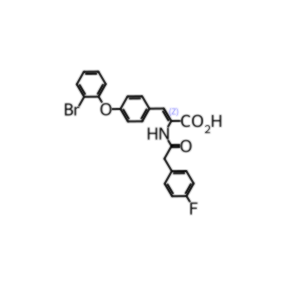 O=C(Cc1ccc(F)cc1)N/C(=C\c1ccc(Oc2ccccc2Br)cc1)C(=O)O